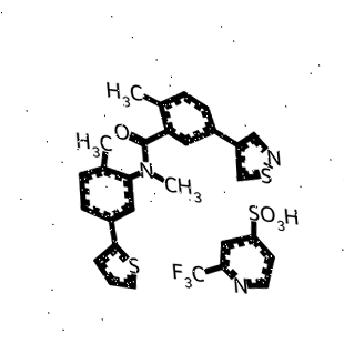 Cc1ccc(-c2cnsc2)cc1C(=O)N(C)c1cc(-c2cccs2)ccc1C.O=S(=O)(O)c1ccnc(C(F)(F)F)c1